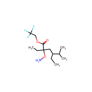 CCC(CC(CC)(ON)C(=O)OCC(F)(F)F)C(C)C